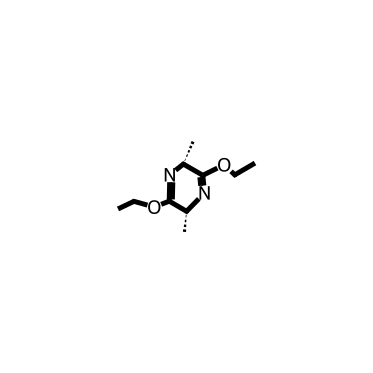 CCOC1=N[C@H](C)C(OCC)=N[C@@H]1C